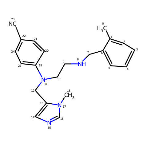 Cc1ccccc1CNCCN(Cc1cncn1C)c1ccc(C#N)cc1